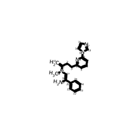 C=C(CCc1cccc(-n2ccnc2)n1)N(C)/C=C(\N)c1ccccc1